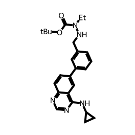 CCN(NCc1cccc(-c2ccc3ncnc(NC4CC4)c3c2)c1)C(=O)OC(C)(C)C